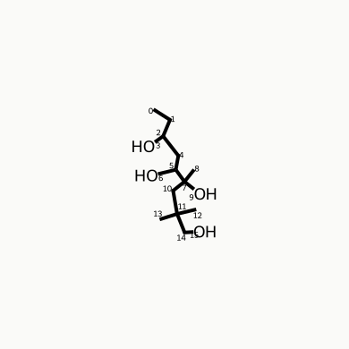 CCC(O)CC(O)C(C)(O)CC(C)(C)CO